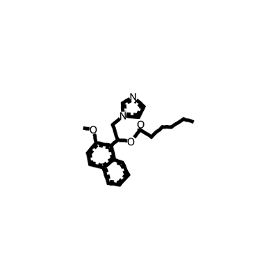 CCCCCC(=O)OC(Cn1ccnc1)c1c(OC)ccc2ccccc12